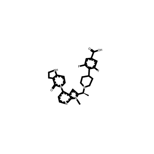 C[C@@H](c1cc2c(-n3ccc4c(c3=O)CCN4)ccnc2n1C)N1CCC(c2c(F)cc(C(=O)O)cc2F)CC1